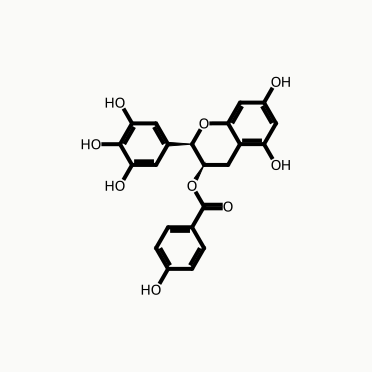 O=C(O[C@@H]1Cc2c(O)cc(O)cc2O[C@@H]1c1cc(O)c(O)c(O)c1)c1ccc(O)cc1